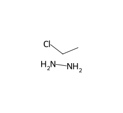 CCCl.NN